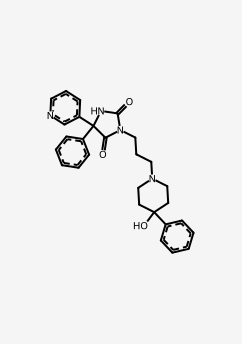 O=C1NC(c2ccccc2)(c2cccnc2)C(=O)N1CCCN1CCC(O)(c2ccccc2)CC1